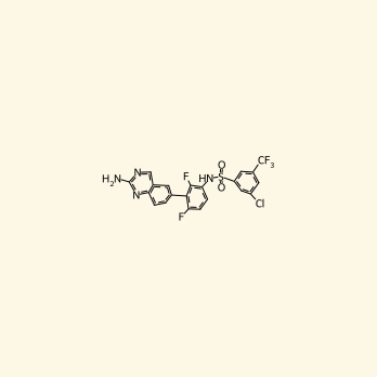 Nc1ncc2cc(-c3c(F)ccc(NS(=O)(=O)c4cc(Cl)cc(C(F)(F)F)c4)c3F)ccc2n1